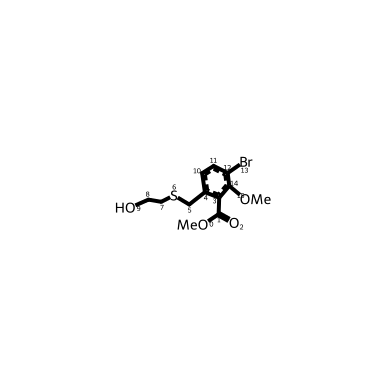 COC(=O)c1c(CSCCO)ccc(Br)c1OC